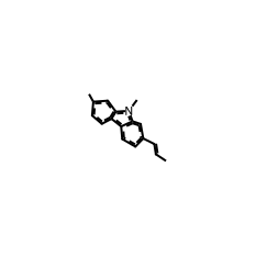 C/C=C/c1ccc2c3ccc(C)cc3n(C)c2c1